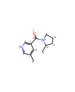 Cc1cncc(C(=O)N2CCCC2C)c1